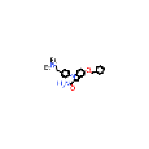 CCN(CC)CCc1ccc(-n2c(C(N)=O)cc3cc(OCc4ccccc4)ccc32)cc1